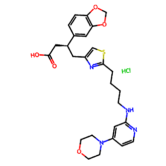 Cl.O=C(O)C[C@H](Cc1csc(CCCCNc2cc(N3CCOCC3)ccn2)n1)c1ccc2c(c1)OCO2